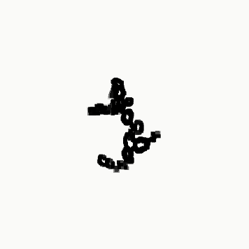 CCCCNc1nc2c(cc1C(=O)Nc1ccc(C(=O)N3CCc4cc(C(=O)OCC)sc4-c4ccc(F)cc43)cc1)CCC2